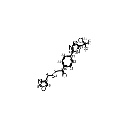 O=C(CSCc1cocn1)c1ccc(-c2noc(C(F)(F)Cl)n2)cc1